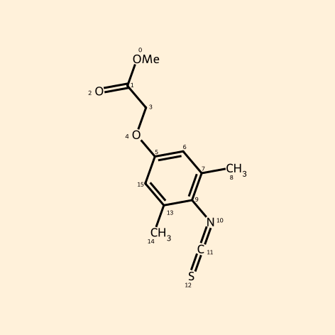 COC(=O)COc1cc(C)c(N=C=S)c(C)c1